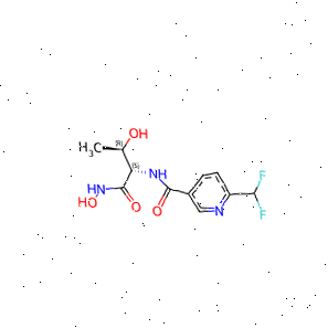 C[C@@H](O)[C@H](NC(=O)c1ccc(C(F)F)nc1)C(=O)NO